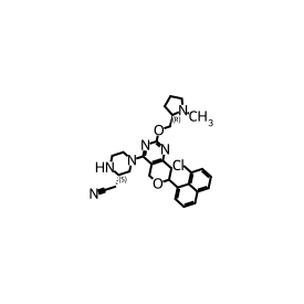 CN1CCC[C@@H]1COc1nc2c(c(N3CCN[C@@H](CC#N)C3)n1)COC(c1cccc3cccc(Cl)c13)C2